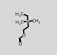 CC[Si](C)(C)CCOC=O